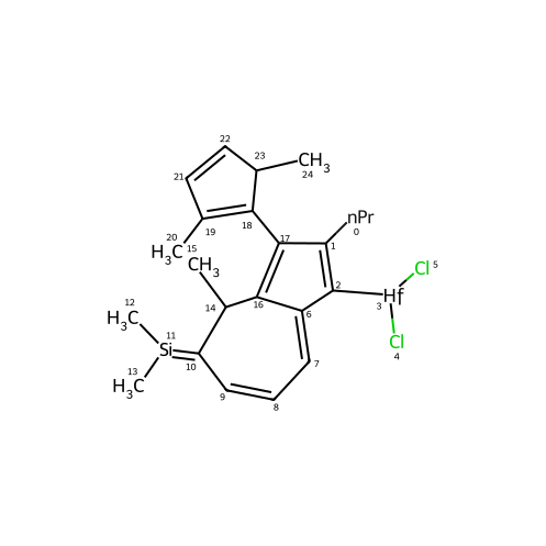 CCCC1=[C]([Hf]([Cl])[Cl])C2=CC=CC(=[Si](C)C)C(C)C2=C1C1=C(C)C=CC1C